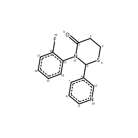 O=C1CCSC(c2cccnc2)N1c1ccccc1F